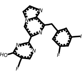 Oc1nc(-c2cn3ccnc3c(Cc3cc(F)cc(I)c3)n2)ncc1F